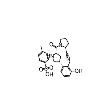 Cc1c(O)cccc1[C@@H]1CN[C@H](C(=O)N2CCC[C@H]2C#N)C1.Cc1ccc(S(=O)(=O)O)cc1